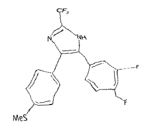 CSc1ccc(-c2nc(C(F)(F)F)[nH]c2-c2ccc(F)c(F)c2)cc1